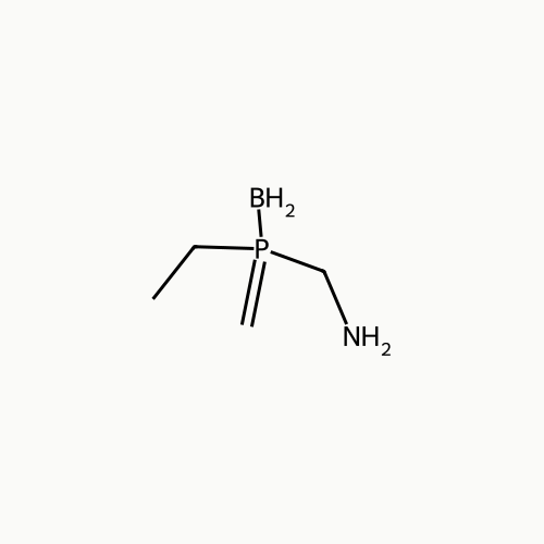 BP(=C)(CC)CN